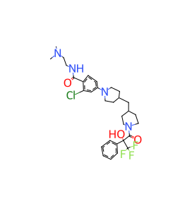 CN(C)CCNC(=O)c1ccc(N2CCC(CC3CCN(C(=O)C(O)(c4ccccc4)C(F)(F)F)CC3)CC2)cc1Cl